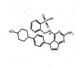 CC(C)S(=O)(=O)c1ccccc1CNc1nc(N)nc2ccn(-c3ccc(N4CCC(O)CC4)cc3)c12